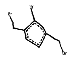 BrCc1ccc(CBr)c(Br)c1